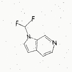 FC(F)n1ccc2ccncc21